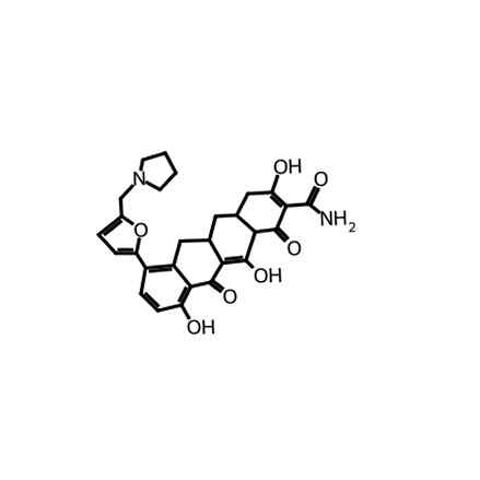 NC(=O)C1=C(O)CC2CC3Cc4c(-c5ccc(CN6CCCC6)o5)ccc(O)c4C(=O)C3=C(O)C2C1=O